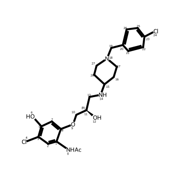 CC(=O)Nc1cc(Cl)c(O)cc1OC[C@H](O)CNC1CCN(Cc2ccc(Cl)cc2)CC1